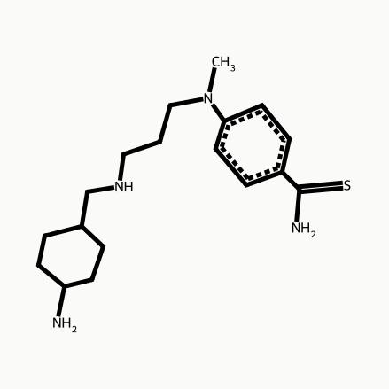 CN(CCCNCC1CCC(N)CC1)c1ccc(C(N)=S)cc1